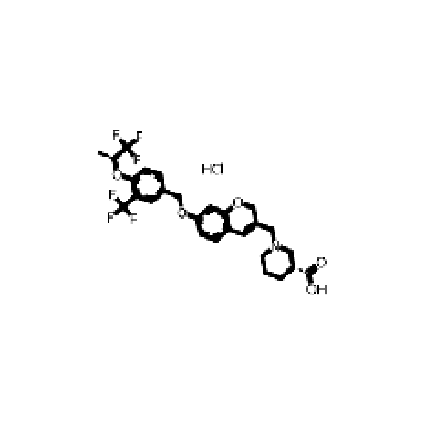 C[C@H](Oc1ccc(COc2ccc3c(c2)OCC(CN2CCC[C@@H](C(=O)O)C2)=C3)cc1C(F)(F)F)C(F)(F)F.Cl